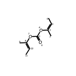 CC=C(C)OC(=O)OC(C)=CC